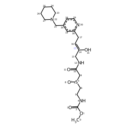 COC(=O)NCC[S+]([O-])CC(=O)NC/C(O)=C/Cc1cc(CN2CCCCC2)ccn1